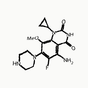 COc1c(N2CCNCC2)c(F)c(N)c2c(=O)[nH]c(=O)n(C3CC3)c12